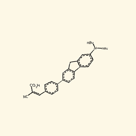 CCCCN(CCCC)c1ccc2c(c1)Cc1cc(-c3ccc(C=C(C#N)C(=O)O)cc3)ccc1-2